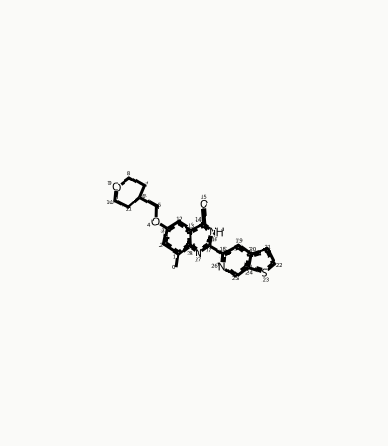 Cc1cc(OCC2CCOCC2)cc2c(=O)[nH]c(-c3cc4ccsc4cn3)nc12